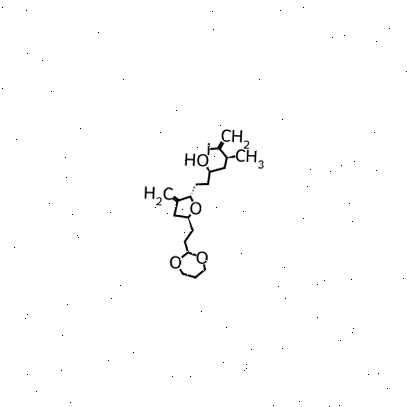 C=C1C[C@H](CCC2OCCCO2)O[C@H]1CC[C@@H](O)C[C@H](C)C(=C)I